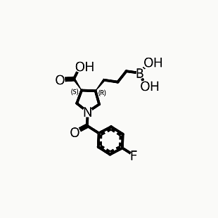 O=C(O)[C@@H]1CN(C(=O)c2ccc(F)cc2)C[C@@H]1CCCB(O)O